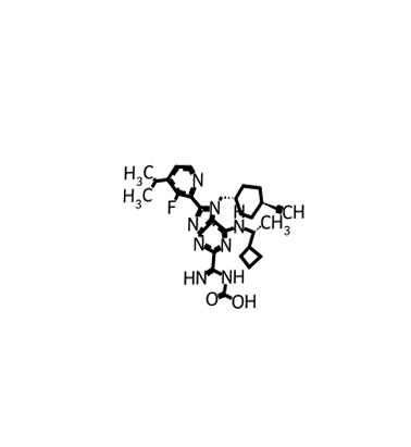 C#C[C@H]1CC[C@H](Cn2c(-c3nccc(C(C)C)c3F)nc3nc(C(=N)NC(=O)O)nc(N[C@H](C)C4CCC4)c32)CC1